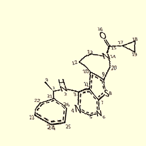 C[C@@H](Nc1ncnc2sc3c(c12)CCN(C(=O)C1CC1)C3)c1ccccc1